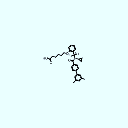 [2H]C([2H])(c1ccccc1OCCCCCC(=O)O)N(C(=O)c1ccc(-c2cc(C)cc(C)c2)cc1)C1CC1